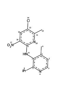 Cc1ccnc(C(C)C)c1Nc1nc(C)c(Cl)cc1[N+](=O)[O-]